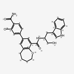 NC(=O)c1ccc(-c2cc3c(c(C(=O)NC(CO)Cc4c[nH]c5ccccc45)c2)OCCCC3)cc1Cl